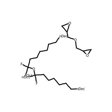 C(OCC1CO1)C1CO1.CCCCCCCCCCCCCCCCC(F)(CCCCCCCC)OC(F)(CCCCCCCC)CCCCCCCCCCCCCCCC